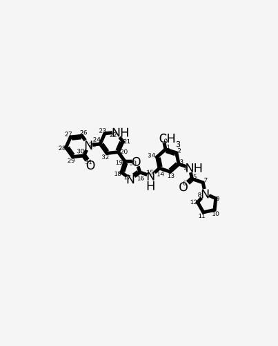 Cc1cc(NC(=O)CN2CCCC2)cc(Nc2ncc(C3=CNCC(n4ccccc4=O)=C3)o2)c1